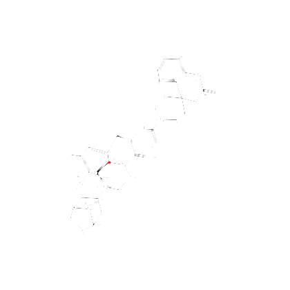 CCc1cc(C[C@@H](OC(=O)N2CCC3(CC2)CC(=O)Nc2ccccc23)C(=O)N2CCN(C3CC4CCC(C3)N4C)CC2)cc(Cl)c1N